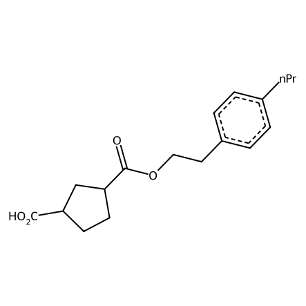 CCCc1ccc(CCOC(=O)C2CCC(C(=O)O)C2)cc1